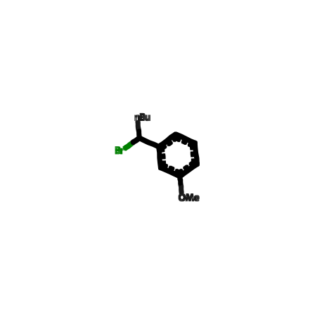 CCCCC(Br)c1cccc(OC)c1